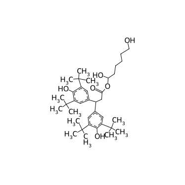 CC(C)(C)c1cc(C(CC(=O)OC(O)CCCCCO)c2cc(C(C)(C)C)c(O)c(C(C)(C)C)c2)cc(C(C)(C)C)c1O